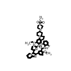 CCOc1cc2c(cc1Nc1nccc(-c3c(-c4ccc(OC)c(C(=O)Nc5c(F)cccc5F)c4)nc4ccccn34)n1)CCC1CC(N3CCN(S(C)(=O)=O)CC3)CCN21